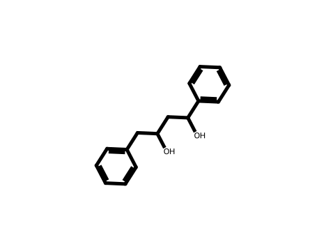 OC(Cc1ccccc1)CC(O)c1ccccc1